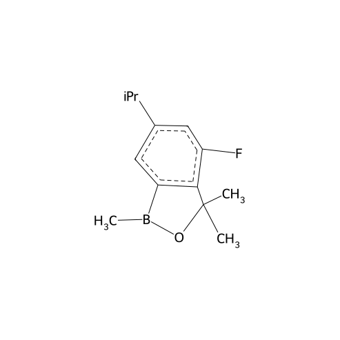 CB1OC(C)(C)c2c(F)cc(C(C)C)cc21